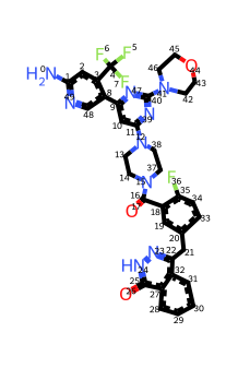 Nc1cc(C(F)(F)F)c(-c2cc(N3CCN(C(=O)c4cc(Cc5n[nH]c(=O)c6ccccc56)ccc4F)CC3)nc(N3CCOCC3)n2)cn1